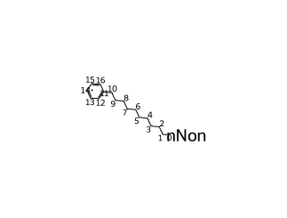 CCCCCCCCCCCCCCCCCCCc1cc[c]cc1